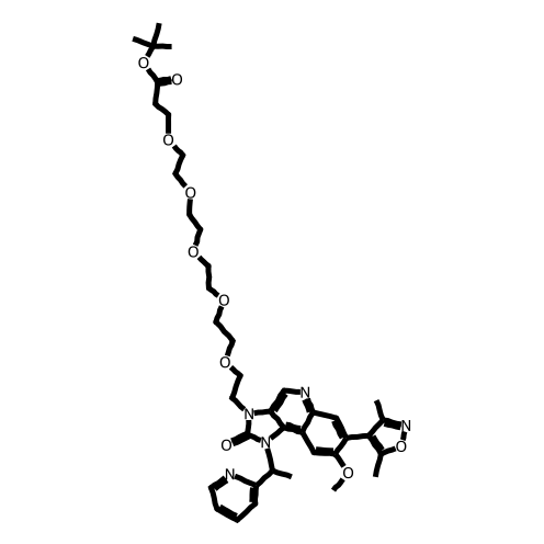 COc1cc2c(cc1-c1c(C)noc1C)ncc1c2n(C(C)c2ccccn2)c(=O)n1CCOCCOCCOCCOCCOCCC(=O)OC(C)(C)C